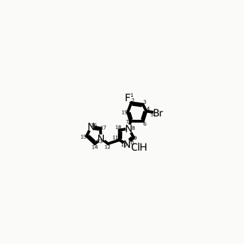 Cl.Fc1cc(Br)cc(-n2cnc(Cn3ccnc3)c2)c1